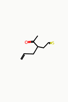 C=CCC(CC=S)C(C)=O